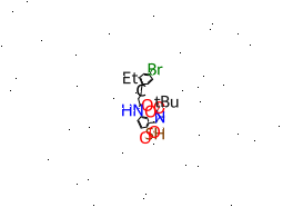 CCc1cc(Br)ccc1CCCC(=O)Nc1ccc([SH](=O)=O)c(CN(C)C(=O)OC(C)(C)C)c1